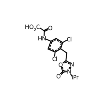 CC(C)n1nc(Cc2c(Cl)cc(NC(=O)C(=O)O)cc2Cl)oc1=O